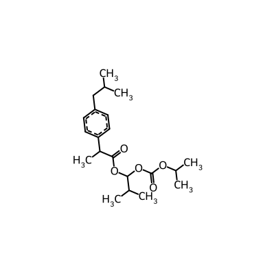 CC(C)Cc1ccc(C(C)C(=O)OC(OC(=O)OC(C)C)C(C)C)cc1